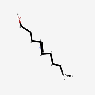 CCCCCCCC/C=C/CCCBr